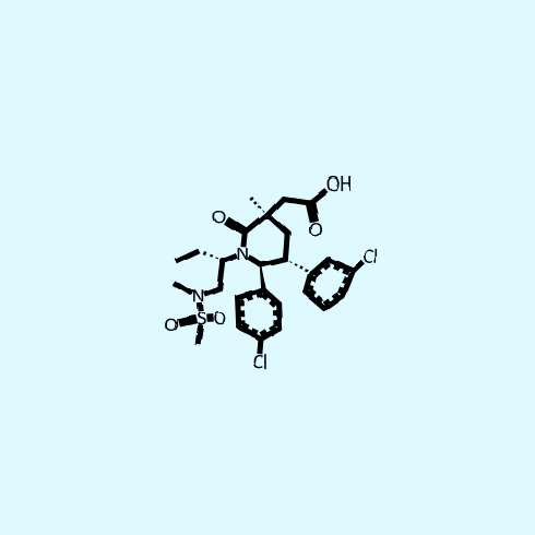 CC[C@@H](CN(C)S(C)(=O)=O)N1C(=O)[C@@](C)(CC(=O)O)C[C@H](c2cccc(Cl)c2)[C@H]1c1ccc(Cl)cc1